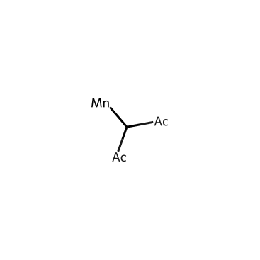 CC(=O)[CH]([Mn])C(C)=O